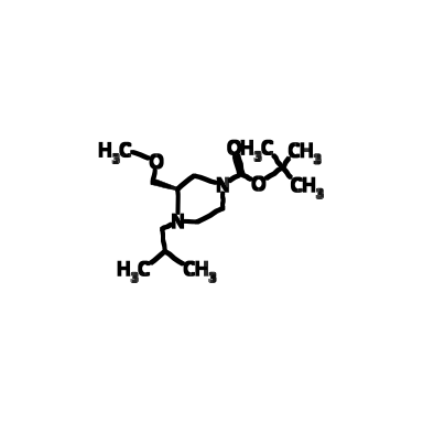 COC[C@H]1CN(C(=O)OC(C)(C)C)CCN1CC(C)C